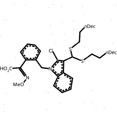 CCCCCCCCCCCCSC(SCCCCCCCCCCCC)c1c(Cl)n(Cc2ccccc2C(=NOC)C(=O)O)c2ccccc12